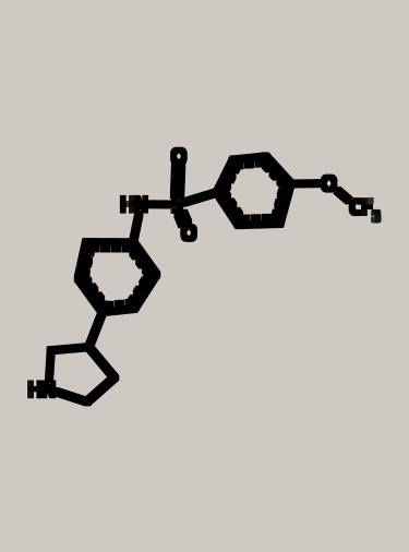 O=S(=O)(Nc1ccc(C2CCNC2)cc1)c1ccc(OC(F)(F)F)cc1